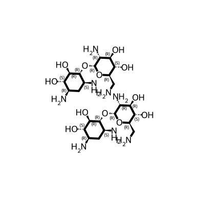 NC[C@H]1O[C@H](O[C@H]2[C@H](O)[C@@H](O)[C@H](N)C[C@@H]2N)[C@H](N)[C@@H](O)[C@@H]1O.NC[C@H]1O[C@H](O[C@H]2[C@H](O)[C@@H](O)[C@H](N)C[C@@H]2N)[C@H](N)[C@@H](O)[C@@H]1O